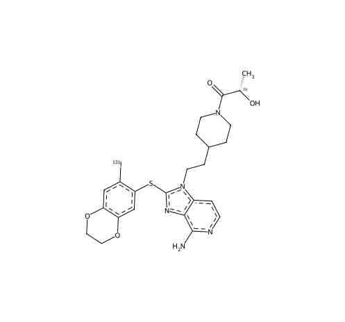 C[C@H](O)C(=O)N1CCC(CCn2c(Sc3cc4c(cc3[131I])OCCO4)nc3c(N)nccc32)CC1